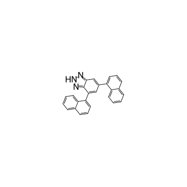 c1ccc2c(-c3cc(-c4cccc5ccccc45)c4n[nH]nc4c3)cccc2c1